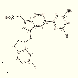 CCOC(=O)Cc1cn(CC2CSc3ccc(Cl)cc32)c2cc(-c3cc(N)nc(N)n3)ccc12